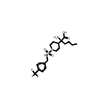 BC(CCCC)(C(=O)O)C1CCN(S(=O)(=O)NCc2ccc(C(F)(F)F)cc2)CC1